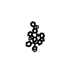 C(=C(/c1ccccc1)c1ccc2sc3cccc(N(c4ccc5c(c4)oc4ccccc45)c4cccc5oc6ccccc6c45)c3c2c1)/c1ccccc1